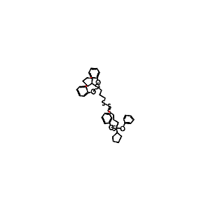 c1ccc(O[Si](CCCSSSCCC[Si](Oc2ccccc2)(Oc2ccccc2)C2CCCC2)(Oc2ccccc2)C2CCCC2)cc1